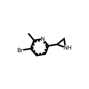 Cc1nc(C2CN2)ccc1Br